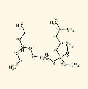 CCO[SiH](OCC)OCC.CO[Si](CCCN(C)C)(OC)OC